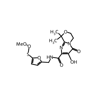 COOSc1ccc(CNC(=O)c2nc3n(c(=O)c2O)CCOC3(C)C)o1